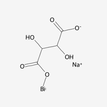 O=C([O-])C(O)C(O)C(=O)[O][Bi].[Na+]